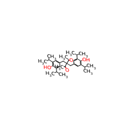 CC(=O)C(Cc1cc(C(C)C)c(O)c(C(C)C)c1)(Cc1cc(C(C)C)c(O)c(C(C)C)c1)C(C)=O